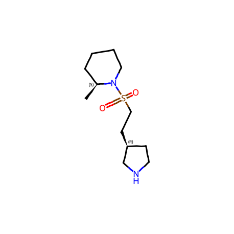 C[C@H]1CCCCN1S(=O)(=O)CC[C@H]1CCNC1